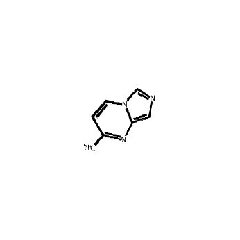 N#Cc1ccn2cncc2n1